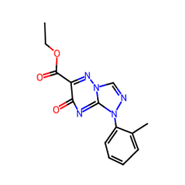 CCOC(=O)c1nn2cnn(-c3ccccc3C)c2nc1=O